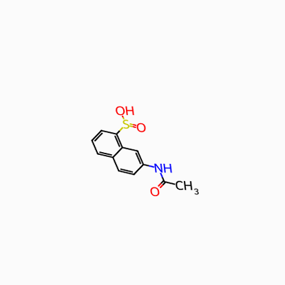 CC(=O)Nc1ccc2cccc(S(=O)O)c2c1